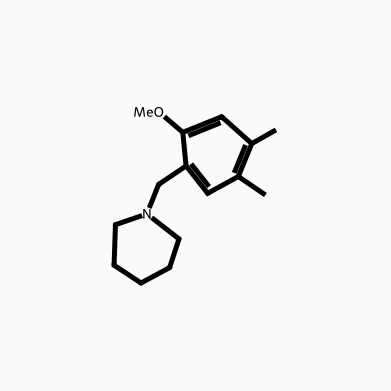 COc1cc(C)c(C)cc1CN1CCCCC1